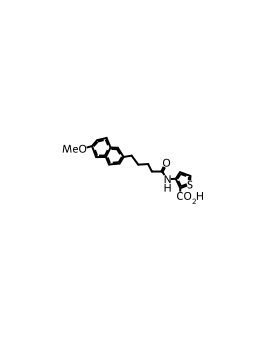 COc1ccc2cc(CCCCC(=O)Nc3ccsc3C(=O)O)ccc2c1